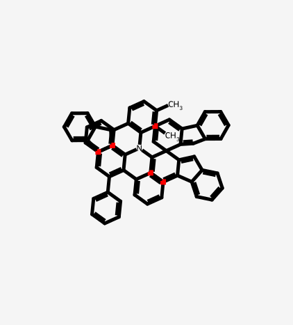 Cc1ccc(-c2ccccc2)c(N(C2=CC=C3C(=Cc4ccccc43)C23C=CC=C2C3=Cc3ccccc32)c2c3c(cc(-c4ccccc4)c2-c2ccccc2)-c2ccccc2C3)c1C